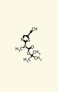 C#Cc1cnc(N(C)C(=O)OC(C)(C)C)s1